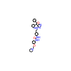 O=C(Nc1ccc(CCNc2ncnc3oc(-c4ccccc4)c(-c4ccccc4)c23)cc1)Nc1cccc(OCCN2CCCCC2)c1